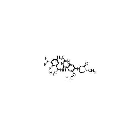 COc1cc2c(NC(C)c3cccc(C(F)F)c3F)nc(C)nc2cc1N1CCN(C)C(=O)C1